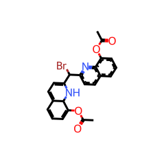 CC(=O)OC1=CC=CC2=CC=C(C(Br)c3ccc4cccc(OC(C)=O)c4n3)NC21